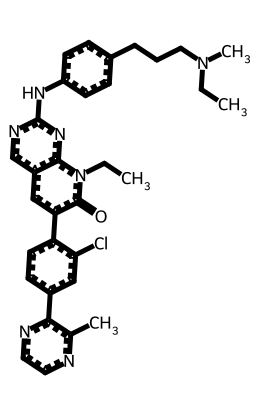 CCN(C)CCCc1ccc(Nc2ncc3cc(-c4ccc(-c5nccnc5C)cc4Cl)c(=O)n(CC)c3n2)cc1